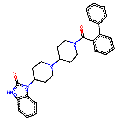 O=C(c1ccccc1-c1ccccc1)N1CCC(N2CCC(n3c(=O)[nH]c4ccccc43)CC2)CC1